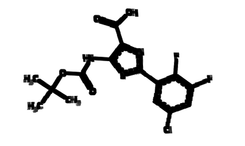 CC(C)(C)OC(=O)Nc1sc(-c2cc(Cl)cc(F)c2F)nc1C(=O)O